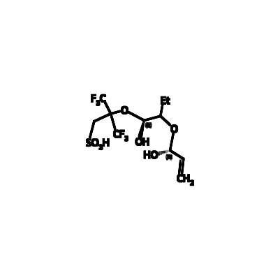 C=C[C@H](O)OC(CC)[C@@H](O)OC(CS(=O)(=O)O)(C(F)(F)F)C(F)(F)F